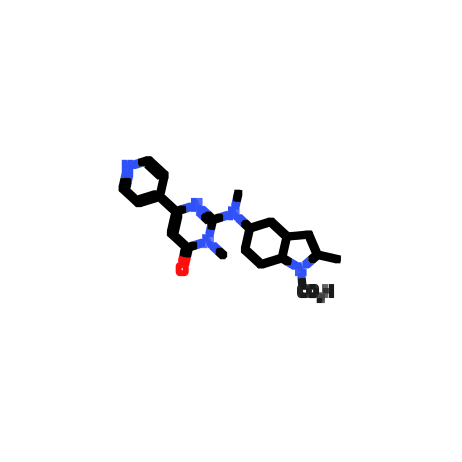 CC1CC2CC(N(C)c3nc(-c4ccncc4)cc(=O)n3C)CCC2N1C(=O)O